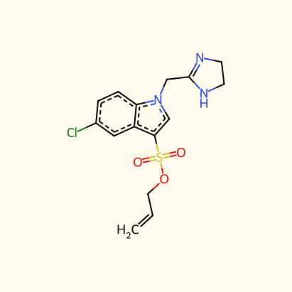 C=CCOS(=O)(=O)c1cn(CC2=NCCN2)c2ccc(Cl)cc12